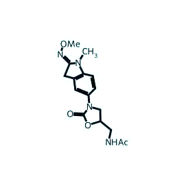 CON=C1Cc2cc(N3CC(CNC(C)=O)OC3=O)ccc2N1C